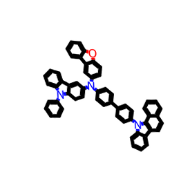 C1=C2c3ccccc3N(c3ccccc3)C2CC=C1N(c1ccc(-c2ccc(-n3c4ccccc4c4ccc5ccccc5c43)cc2)cc1)c1ccc2oc3ccccc3c2c1